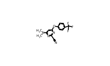 CN(C)c1cc(Oc2ccc(C(F)(F)F)cc2)nc(C#N)n1